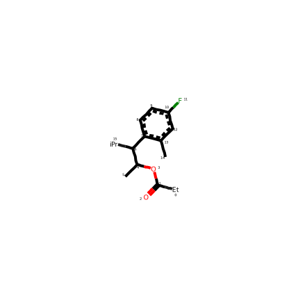 CCC(=O)OC(C)C(c1ccc(F)cc1C)C(C)C